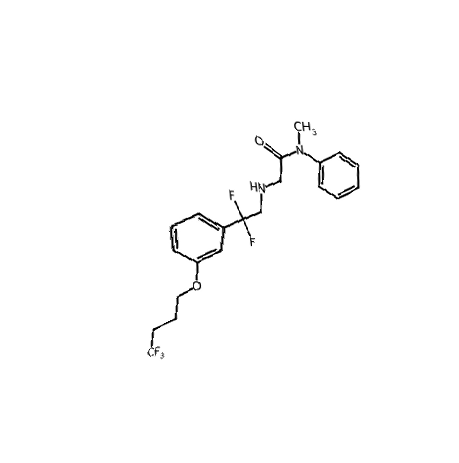 CN(C(=O)CNCC(F)(F)c1cccc(OCCCC(F)(F)F)c1)c1ccccc1